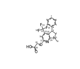 CN1CC(c2ccccc2)c2c(C(F)(F)F)cc(OCC(=O)O)nc21